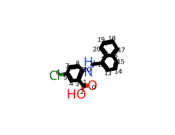 O=C(O)c1cc(Cl)ccc1NCc1cccc2ccccc12